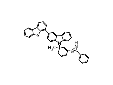 CC1(n2c3ccccc3c3cc(-c4cccc5c4sc4ccccc45)ccc32)C=C([C@@H]2NC2c2ccccc2)C=CC1